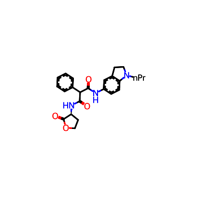 CCCN1CCc2cc(NC(=O)C(C(=O)N[C@H]3CCOC3=O)c3ccccc3)ccc21